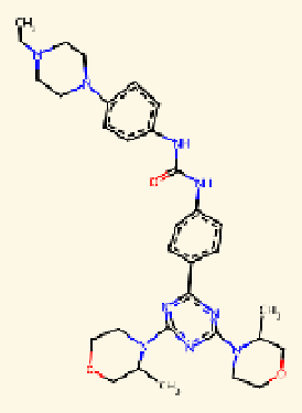 CCN1CCN(c2ccc(NC(=O)Nc3ccc(-c4nc(N5CCOCC5C)nc(N5CCOCC5C)n4)cc3)cc2)CC1